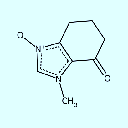 Cn1c[n+]([O-])c2c1C(=O)CCC2